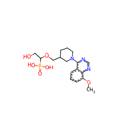 COc1cccc2c(N3CCCC(COC(CO)P(=O)(O)O)C3)ncnc12